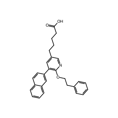 O=C(O)CCCCc1cnc(OCCc2ccccc2)c(-c2ccc3ccccc3c2)c1